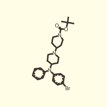 CC(C)(C)OC(=O)N1CCC(N2CCC(N(c3ccccc3)c3ccc(Br)cc3)CC2)CC1